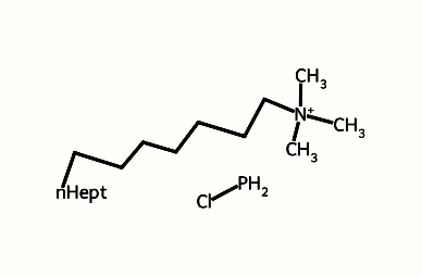 CCCCCCCCCCCCCC[N+](C)(C)C.PCl